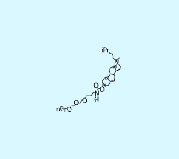 CCCOCCOCCOCCCNC(=O)O[C@@H]1CC[C@]2(C)C(=CCC3C4CCC([C@H](C)CCCC(C)C)[C@]4(C)CCC32)C1